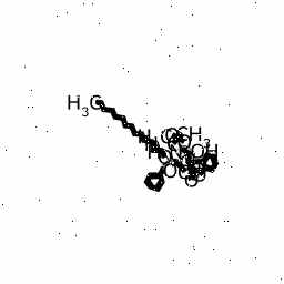 CCCCCCCCCCCCCCOC[C@H](COP(=O)(OC[C@@H](O)[C@H](N)OC(C)(C)OC)Oc1ccccc1Cl)OCc1ccccc1